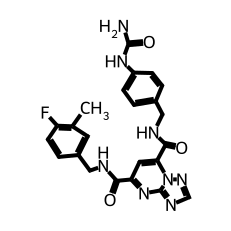 Cc1cc(CNC(=O)c2cc(C(=O)NCc3ccc(NC(N)=O)cc3)n3ncnc3n2)ccc1F